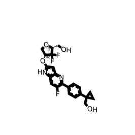 OC[C@H]1OC[C@@H](Oc2cc3nc(-c4ccc(C5(CO)CC5)cc4)c(F)cc3[nH]2)C1(F)F